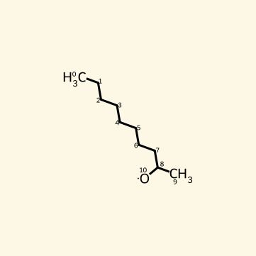 CCCCCCCCC(C)[O]